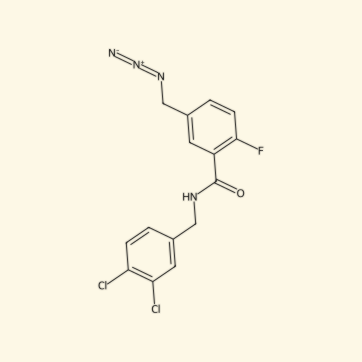 [N-]=[N+]=NCc1ccc(F)c(C(=O)NCc2ccc(Cl)c(Cl)c2)c1